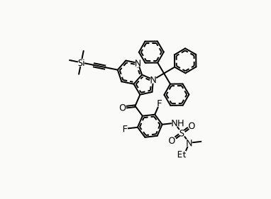 CCN(C)S(=O)(=O)Nc1ccc(F)c(C(=O)c2cn(C(c3ccccc3)(c3ccccc3)c3ccccc3)c3ncc(C#C[Si](C)(C)C)cc23)c1F